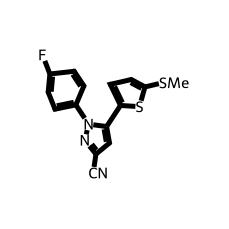 CSc1ccc(-c2cc(C#N)nn2-c2ccc(F)cc2)s1